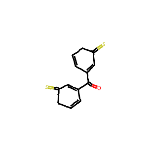 O=C(C1=CC(=S)CC=C1)C1=CC(=S)CC=C1